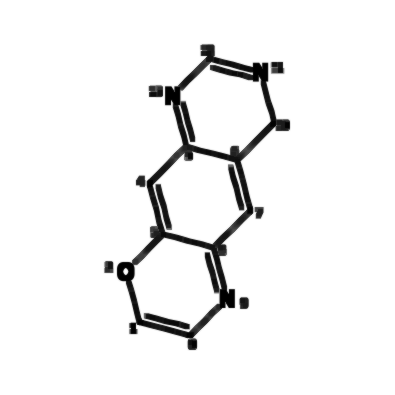 C1=COc2cc3c(cc2=N1)CN=CN=3